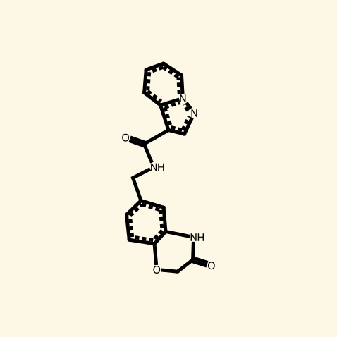 O=C1COc2ccc(CNC(=O)c3cnn4ccccc34)cc2N1